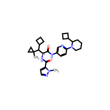 Cn1nccc1C(=O)N[C@H](C(=O)Nc1ccc(N2CCCCC2C2CCC2)nc1)C(C1CCC1)C1(C)CC1